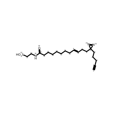 C#CCCCC1(CCC=CCCCCCCCC(=O)NCCS(=O)(=O)O)N=N1